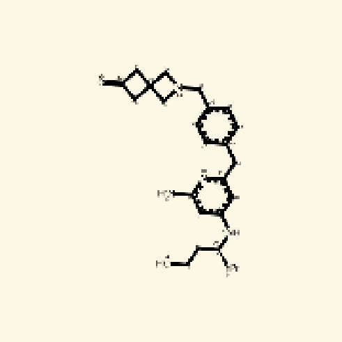 CCC[C@@H](CCO)Nc1cc(N)nc(Cc2ccc(CN3CC4(CC(=O)C4)C3)cc2)c1